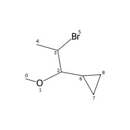 COC(C(C)Br)C1CC1